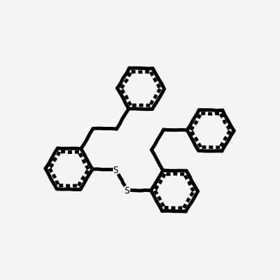 c1ccc(CCc2ccccc2SSc2ccccc2CCc2ccccc2)cc1